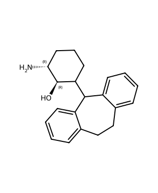 N[C@@H]1CCCC(C2c3ccccc3CCc3ccccc32)[C@H]1O